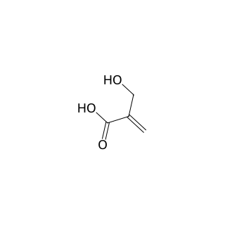 C=C(CO)C(=O)O